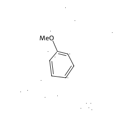 COc1[c]c[c]cc1